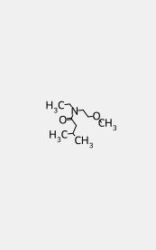 CCN(CCOC)C(=O)CC(C)C